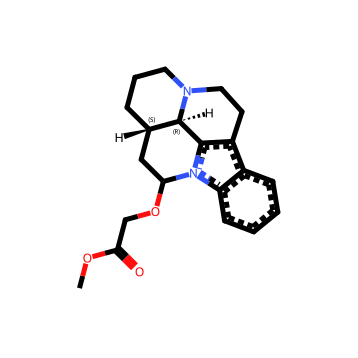 COC(=O)COC1C[C@@H]2CCCN3CCc4c(n1c1ccccc41)[C@@H]23